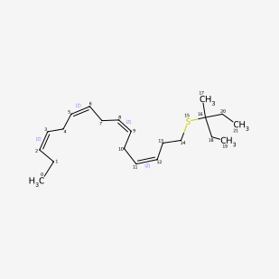 CC/C=C\C/C=C\C/C=C\C/C=C\CCSC(C)(CC)CC